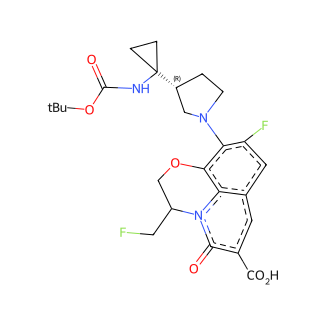 CC(C)(C)OC(=O)NC1([C@@H]2CCN(c3c(F)cc4cc(C(=O)O)c(=O)n5c4c3OCC5CF)C2)CC1